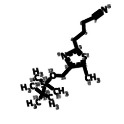 Cc1sc(CCCC#N)nc1CO[Si](C)(C)C(C)(C)C